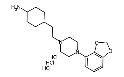 Cl.Cl.Cl.NC1CCC(CCN2CCN(c3cccc4c3OCO4)CC2)CC1